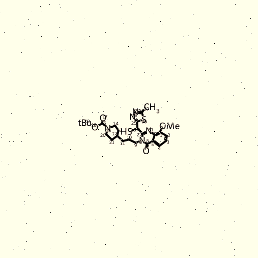 COc1cccc2c(=O)n(CCCC3CCN(C(=O)OC(C)(C)C)CC3)c(C(S)c3nnc(C)s3)nc12